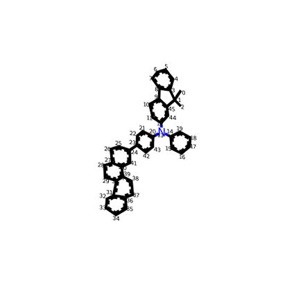 CC1(C)c2ccccc2-c2ccc(N(c3ccccc3)c3ccc(-c4ccc5ccc6c7ccccc7ccc6c5c4)cc3)cc21